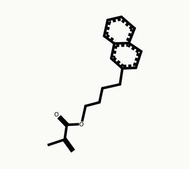 C=C(C)C(=O)OCCCCc1ccc2ccccc2c1